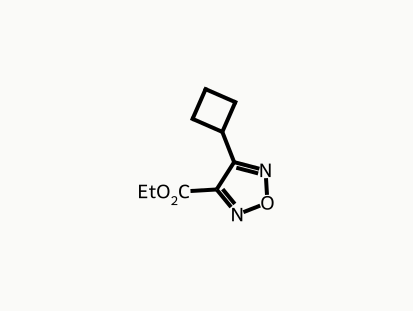 CCOC(=O)c1nonc1C1CCC1